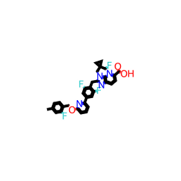 Cc1ccc(COc2cccc(-c3cc(F)c(Cc4nc5ccc(C(=O)O)nc5n4CC4(CF)CC4)c(F)c3)n2)c(F)c1